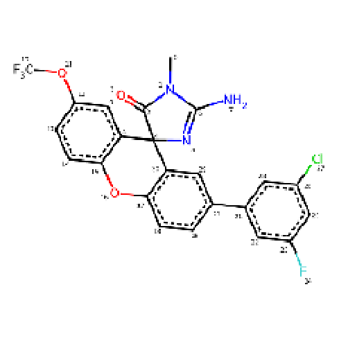 CN1C(=O)C2(N=C1N)c1cc(OC(F)(F)F)ccc1Oc1ccc(-c3cc(F)cc(Cl)c3)cc12